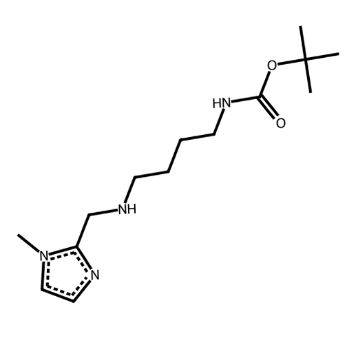 Cn1ccnc1CNCCCCNC(=O)OC(C)(C)C